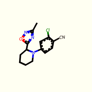 Cc1noc(C2CCCCN2c2ccc(C#N)c(Cl)c2)n1